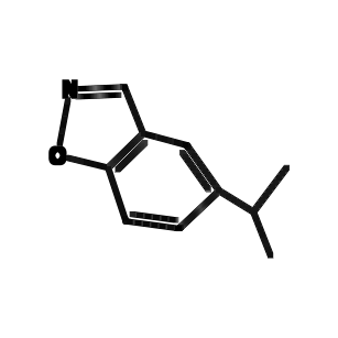 CC(C)c1ccc2oncc2c1